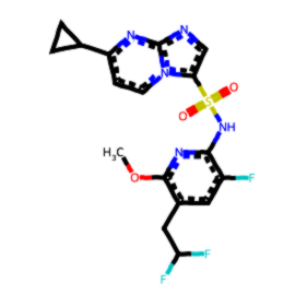 COc1nc(NS(=O)(=O)c2cnc3nc(C4CC4)ccn23)c(F)cc1CC(F)F